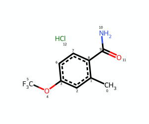 Cc1cc(OC(F)(F)F)ccc1C(N)=O.Cl